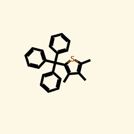 Cc1sc(C(c2ccccc2)(c2ccccc2)c2ccccc2)c(C)c1C